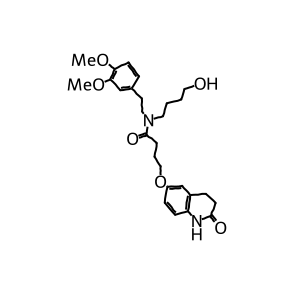 COc1ccc(CCN(CCCCO)C(=O)CCCOc2ccc3c(c2)CCC(=O)N3)cc1OC